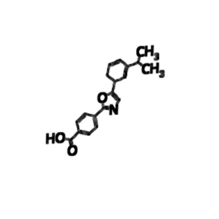 CC(C)C1=CC(c2cnc(-c3ccc(C(=O)O)cc3)o2)CC=C1